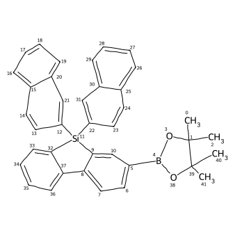 CC1(C)OB(c2ccc3c(c2)[Si](c2ccc4ccccc4c2)(c2ccc4ccccc4c2)c2ccccc2-3)OC1(C)C